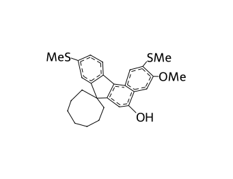 COc1cc2c(O)cc3c(c2cc1SC)-c1ccc(SC)cc1C31CCCCCCC1